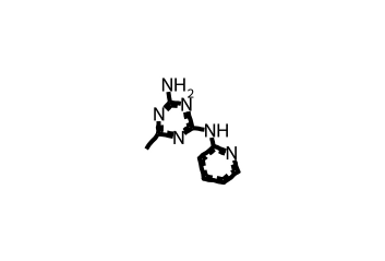 Cc1nc(N)nc(Nc2ccccn2)n1